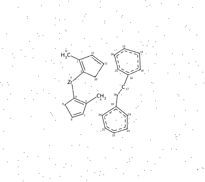 CC1=[C]([Zr][C]2=C(C)C=CC2)CC=C1.c1ccc(CCc2ccccc2)cc1